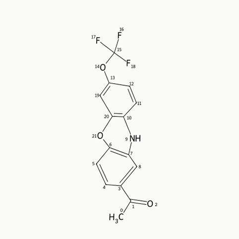 CC(=O)c1ccc2c(c1)Nc1ccc(OC(F)(F)F)cc1O2